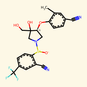 Cc1cc(C#N)ccc1O[C@H]1CN([S+]([O-])c2ccc(C(F)(F)F)cc2C#N)CC1(O)CO